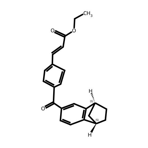 CCOC(=O)C=Cc1ccc(C(=O)c2ccc3c(c2)[C@H]2CC[C@H]3C2)cc1